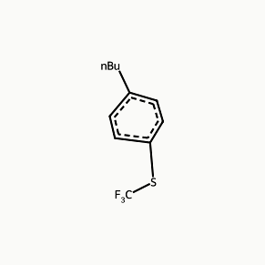 CCCCc1ccc(SC(F)(F)F)cc1